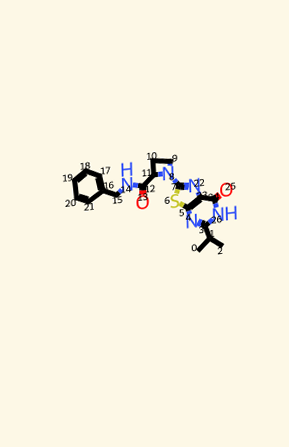 CC(C)c1nc2sc(N3CCC3C(=O)NCc3ccccc3)nc2c(=O)[nH]1